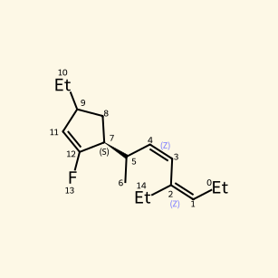 CC/C=C(\C=C/C(C)[C@@H]1CC(CC)C=C1F)CC